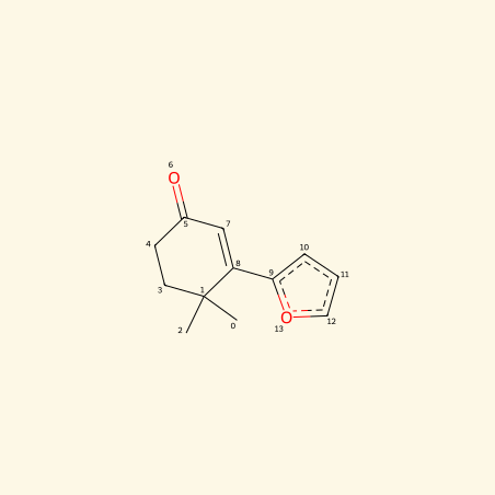 CC1(C)CCC(=O)C=C1c1ccco1